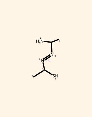 CC(N)/N=N/C(C)S